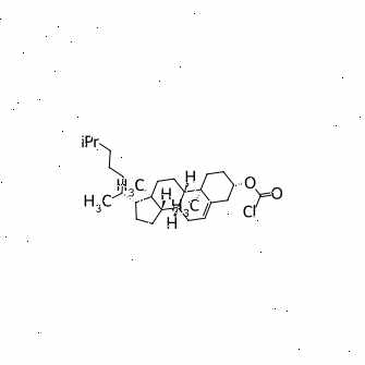 CC(C)CCCC(C)[C@H]1CC[C@H]2[C@H]3CC=C4C[C@@H](OC(=O)Cl)CC[C@]4(C)[C@H]3CC[C@]12C